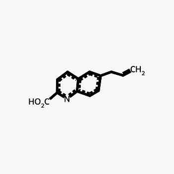 C=CCc1ccc2nc(C(=O)O)ccc2c1